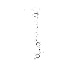 C=C(C)c1ccc(CCCCCCCCCCCCc2ccc(C=CC(=O)c3ccc(F)cc3)cc2)cc1